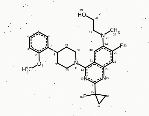 COc1ccccc1C1CCN(c2nc(C3(F)CC3)nc3cc(F)c(N(C)CCO)cc23)CC1